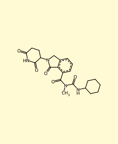 CN(C(=O)NC1CCCCC1)C(=O)c1cccc2c1C(=O)N(C1CCC(=O)NC1=O)C2